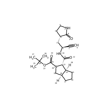 C#C[C@H](C[C@@H]1CCNC1=O)NC(=O)[C@@H]1[C@H]2CCC[C@H]2CN1C(=O)OC(C)(C)C